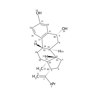 C=C(CCC)[C@H]1CC[C@H]2[C@@H]3C[C@@H](O)c4cc(O)ccc4[C@H]3CC[C@]12C